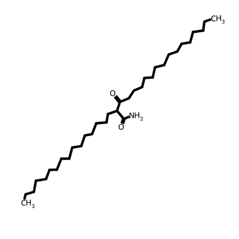 CCCCCCCCCCCCCCCCC(C(N)=O)C(=O)CCCCCCCCCCCCCCC